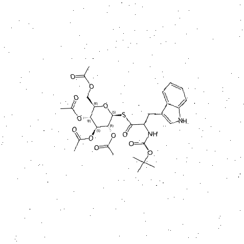 CC(=O)OC[C@H]1O[C@@H](SC(=O)C(Cc2c[nH]c3ccccc23)NC(=O)OC(C)(C)C)[C@H](OC(C)=O)[C@@H](OC(C)=O)[C@@H]1OC(C)=O